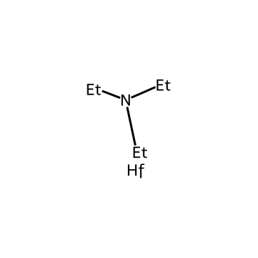 [CH2]CN(CC)CC.[Hf]